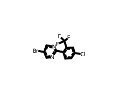 FC(F)(F)c1cc(Cl)ccc1-c1ncc(Br)cn1